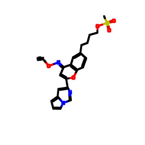 CC(C)(C)ON=c1cc(-c2cc3cccn3cn2)oc2ccc(CCCCOS(C)(=O)=O)cc12